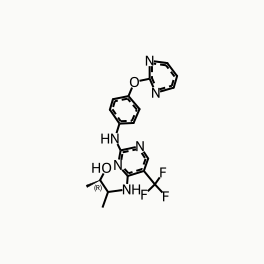 CC(Nc1nc(Nc2ccc(Oc3ncccn3)cc2)ncc1C(F)(F)F)[C@@H](C)O